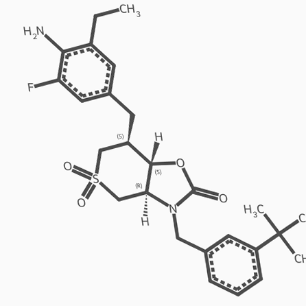 CCc1cc(C[C@@H]2CS(=O)(=O)C[C@H]3[C@H]2OC(=O)N3Cc2cccc(C(C)(C)C)c2)cc(F)c1N